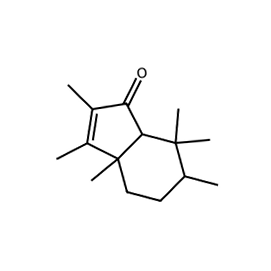 CC1=C(C)C2(C)CCC(C)C(C)(C)C2C1=O